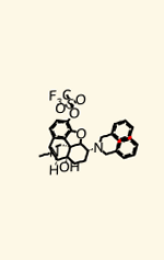 CN1CC[C@]23c4c5ccc(OS(=O)(=O)C(F)(F)F)c4OC2[C@H](N(Cc2ccccc2)Cc2ccccc2)CC[C@@]3(O)[C@H]1C5